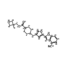 CC1(COC(=O)N2CCC(Cc3noc(-c4cc5c(C#N)nccc5o4)n3)CC2)COC1